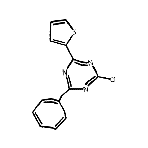 Clc1nc(-c2ccccc2)nc(-c2cccs2)n1